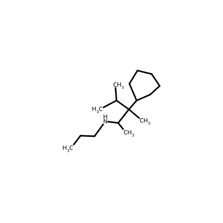 CCCNC(C)C(C)(C(C)C)C1CCCCC1